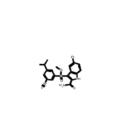 [C-]#[N+]c1cc(C(C)C)cc(P(=O)(OC)c2c(C(N)=O)[nH]c3ccc(Cl)cc23)c1